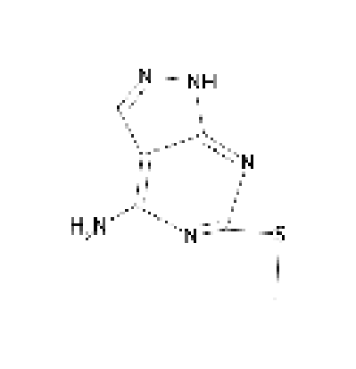 CSc1nc(N)c2cn[nH]c2n1